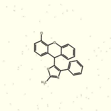 Cc1nc(-c2ccccc2)c(C2c3ccccc3Oc3c(Cl)cccc32)o1